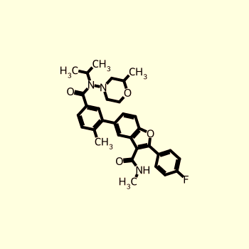 CNC(=O)c1c(-c2ccc(F)cc2)oc2ccc(-c3cc(C(=O)N(C(C)C)N4CCOC(C)C4)ccc3C)cc12